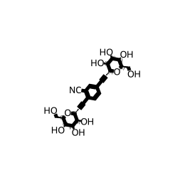 N#Cc1cc(C#C[C@H]2O[C@H](CO)[C@@H](O)[C@H](O)[C@@H]2O)ccc1C#C[C@H]1O[C@H](CO)[C@@H](O)[C@H](O)[C@@H]1O